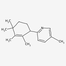 CC1=C(C)C(C)(C)CCC1c1ccc(C)cn1